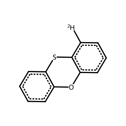 [2H]c1cccc2c1Sc1ccccc1O2